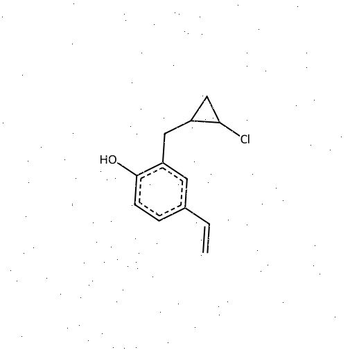 C=Cc1ccc(O)c(CC2CC2Cl)c1